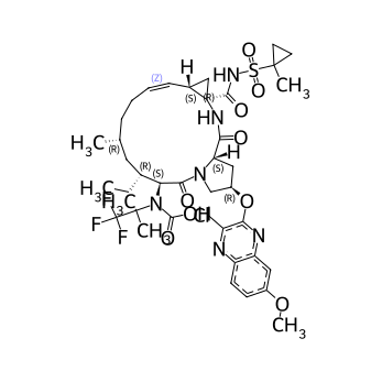 CC[C@@H]1C[C@H](C)CC/C=C\[C@@H]2C[C@@]2(C(=O)NS(=O)(=O)C2(C)CC2)NC(=O)[C@@H]2C[C@@H](Oc3nc4cc(OC)ccc4nc3Cl)CN2C(=O)[C@H]1N(C(=O)O)C(C)(C)C(F)(F)F